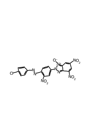 O=[N+]([O-])c1cc([N+](=O)[O-])c2nn(-c3ccc(N=Nc4ccc(Cl)cc4)c([N+](=O)[O-])c3)[n+]([O-])c2c1